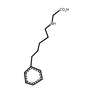 O=C(O)CNCCCCCc1ccccc1